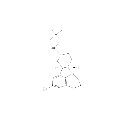 CC(C)(C)OC(=O)N1CC[C@H]2[C@@H](C1)c1cc(Br)cc3c1N2CCC3